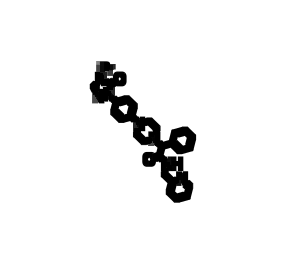 CC(C)n1cnn(-c2ccc(N3CCN(C(C(=O)NCc4ccccn4)c4ccccc4)CC3)cc2)c1=O